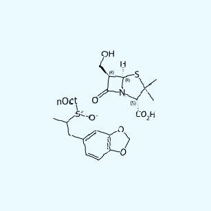 CC1(C)S[C@@H]2[C@H](CO)C(=O)N2[C@H]1C(=O)O.CCCCCCCC[S+]([O-])C(C)Cc1ccc2c(c1)OCO2